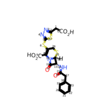 O=C(O)Cc1nnc(SC2=C(C(=O)O)N3C(=O)[C@@H](NC(=O)Cc4ccccc4)[C@@H]3SC2)s1